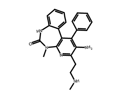 CNCCc1nc2c(c(-c3ccccc3)c1N)-c1ccccc1NC(=O)N2C